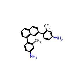 Nc1ccc(-c2ccc3cccc(-c4ccc(N)cc4C(F)(F)F)c3c2)c(C(F)(F)F)c1